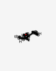 Cn1ccc2c(c1=O)C1=C3C(=CN(CC4CC4)C3CC(C(=O)NCCNC(=O)OC(C)(C)C)N1)C(C(=O)NCCCCCc1cccc3c1CN(C1CCC(=O)NC1=O)C3=O)=C2CS(C)(=O)=O